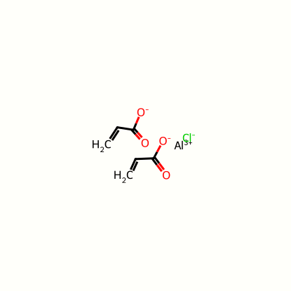 C=CC(=O)[O-].C=CC(=O)[O-].[Al+3].[Cl-]